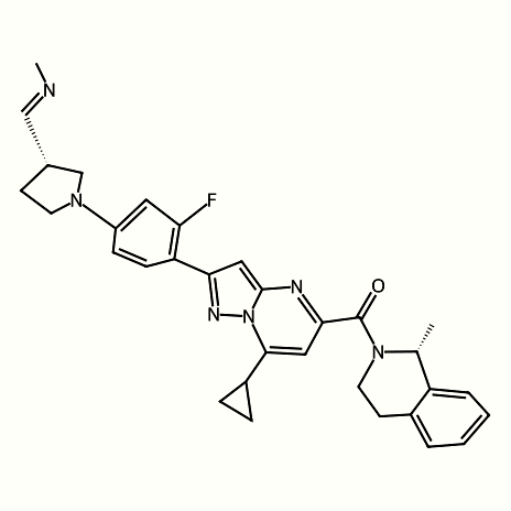 CN=C[C@H]1CCN(c2ccc(-c3cc4nc(C(=O)N5CCc6ccccc6[C@H]5C)cc(C5CC5)n4n3)c(F)c2)C1